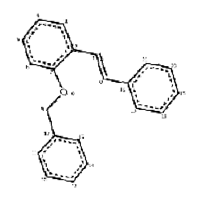 C(=C\c1ccccc1OCc1ccccc1)/c1ccccc1